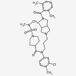 Cc1ccc(N(CCCN2CC3CN(C(=O)c4c(C)cccc4C)CC3C2)C(=O)C2CCN(S(=O)(=O)N(C)C)CC2)cc1Cl